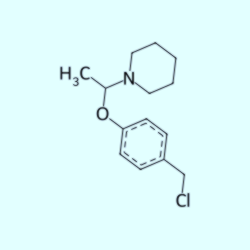 CC(Oc1ccc(CCl)cc1)N1CCCCC1